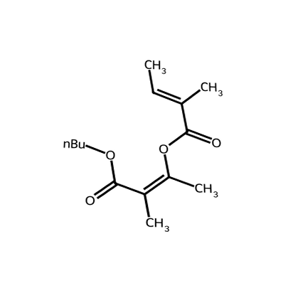 CC=C(C)C(=O)OC(C)=C(C)C(=O)OCCCC